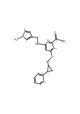 Cn1cc(CNc2cc(OCC3CC3c3ccccn3)nc(C(N)=O)n2)cn1